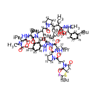 CCCCC(I)SC1CC(=O)N(CCC(=O)N2CCC[C@H]2C(=O)N[C@@H](CC(C)C)C(=O)N[C@@H](CCC(=O)O)C(=O)Nc2ccc(COC(=O)N(C)[C@H](C(=O)N[C@H](C(=O)N(C)[C@@H]([C@@H](C)CC)[C@@H](CC(=O)N3CCC[C@H]3[C@H](OC)[C@@H](C)C(=O)N[C@H](C)[C@@H](O)c3cccc(C(C)CC)c3)OC)C(C)C)C(C)C)cc2)C1=O